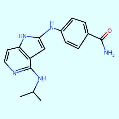 CC(C)Nc1nccc2[nH]c(Nc3ccc(C(N)=O)cc3)cc12